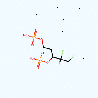 O=P(O)(O)OCCC(OP(=O)(O)O)C(F)(F)CF